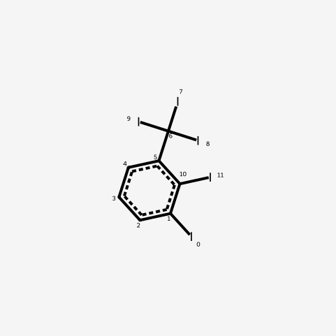 Ic1cccc(C(I)(I)I)c1I